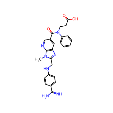 Cn1c(CNc2ccc(C(=N)N)cc2)nc2cc(C(=O)N(CCC(=O)O)c3ccccc3)cnc21